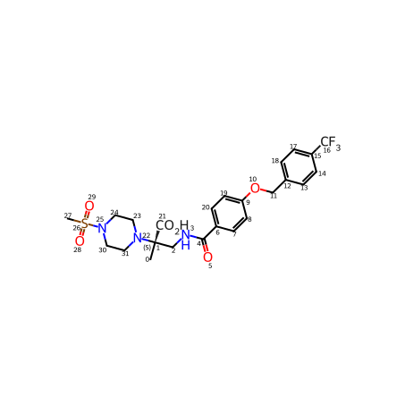 C[C@](CNC(=O)c1ccc(OCc2ccc(C(F)(F)F)cc2)cc1)(C(=O)O)N1CCN(S(C)(=O)=O)CC1